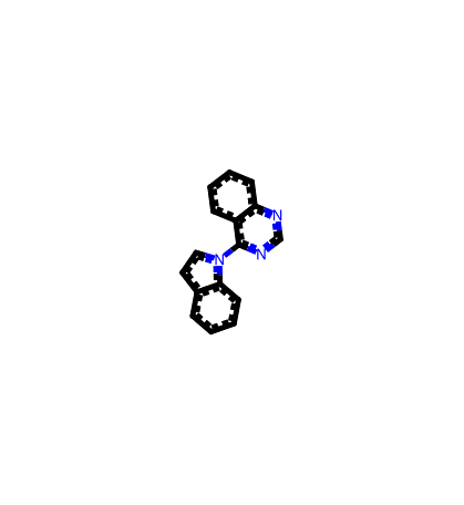 c1ccc2c(c1)ccn2-c1ncnc2ccccc12